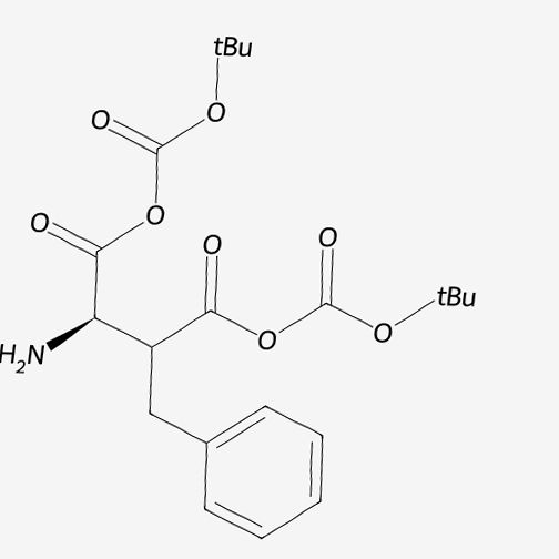 CC(C)(C)OC(=O)OC(=O)C(Cc1ccccc1)[C@@H](N)C(=O)OC(=O)OC(C)(C)C